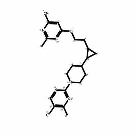 Cc1nc(C#N)cc(OCCC2CC2C2CCN(c3ncc(Cl)c(C)n3)CC2)n1